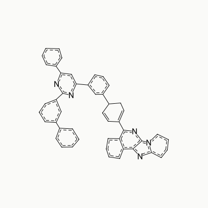 C1=CC(c2cccc(-c3cc(-c4ccccc4)nc(-c4cccc(-c5ccccc5)c4)n3)c2)CC=C1c1nc2c(nc3ccccn32)c2ccccc12